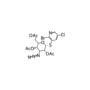 CC(=O)OCC1O[C@H](Sc2cc(Cl)cnc2Br)C(OC(C)=O)C(N=[N+]=[N-])[C@H]1OC(C)=O